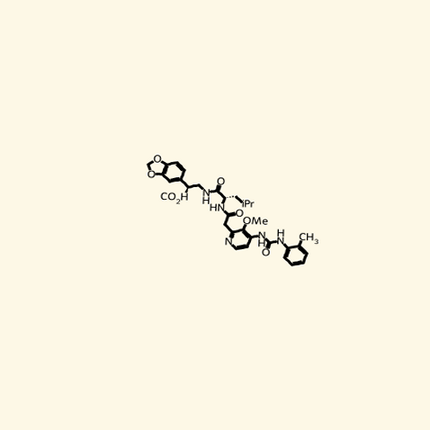 COc1c(NC(=O)Nc2ccccc2C)ccnc1CC(=O)N[C@@H](CC(C)C)C(=O)NC[C@@H](C(=O)O)c1ccc2c(c1)OCO2